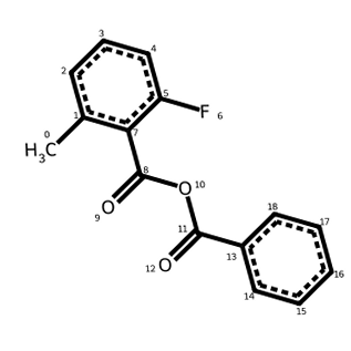 Cc1cccc(F)c1C(=O)OC(=O)c1ccccc1